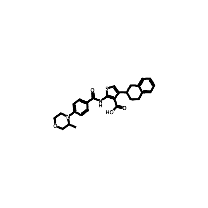 CC1COCCN1c1ccc(C(=O)Nc2scc(C3CCc4ccccc4C3)c2C(=O)O)cc1